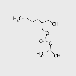 CCCCC(CC)COC(=O)OC(C)C